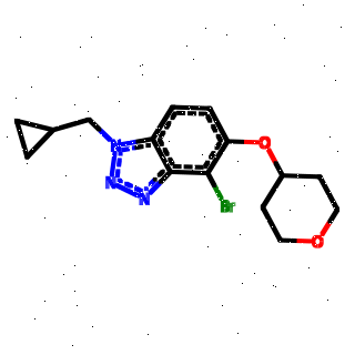 Brc1c(OC2CCOCC2)ccc2c1nnn2CC1CC1